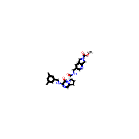 Cc1cc(C)cc(CNc2ncc3n(c2=O)[C@H](C(=O)NCc2cnc4c(c2)CN(C(=O)OC(C)(C)C)C4)CC3)c1